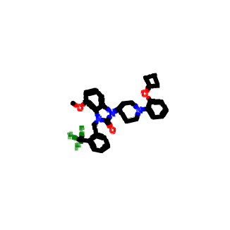 COc1cccc2c1n(Cc1ccccc1C(F)(F)F)c(=O)n2C1CCN(c2ccccc2OC2CCC2)CC1